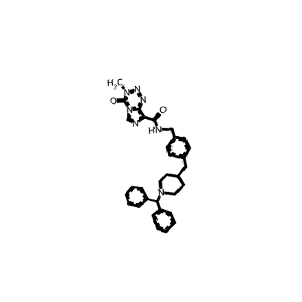 Cn1nnc2c(C(=O)NCc3ccc(CC4CCN(C(c5ccccc5)c5ccccc5)CC4)cc3)ncn2c1=O